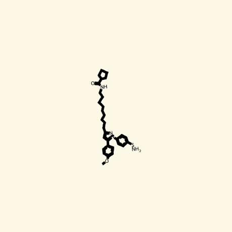 COc1ccc(-c2cc(CCCCCCCCCNC(=O)C3CCCC3)nn2-c2ccc(SN)cc2)cc1